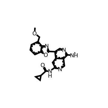 CNc1ncc(-c2nc3c(COC)cccc3o2)c2cc(NC(=O)C3CC3)ncc12